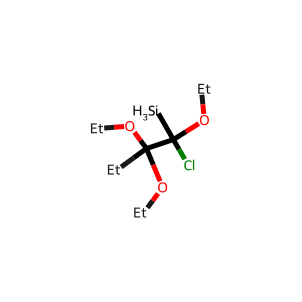 CCOC([SiH3])(Cl)C(CC)(OCC)OCC